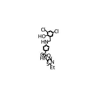 CCc1nnc(NS(=O)(=O)c2ccc(NCc3cc(Cl)cc(Cl)c3O)cc2)s1